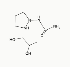 CC(O)CO.NC(=O)NN1CCCN1